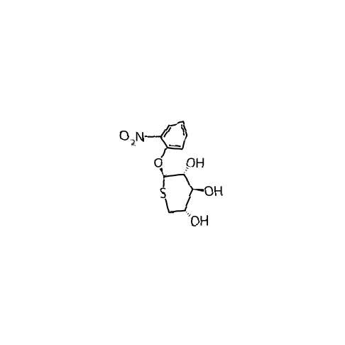 O=[N+]([O-])c1ccccc1O[C@@H]1SC[C@@H](O)[C@H](O)[C@H]1O